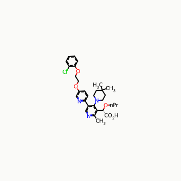 CCCO[C@H](C(=O)O)c1c(C)ncc(-c2ccc(OCCOc3ccccc3Cl)cn2)c1N1CCC(C)(C)CC1